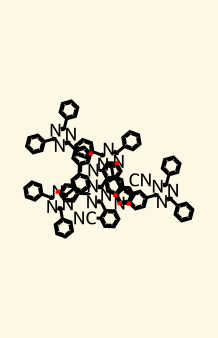 N#Cc1ccccc1-c1cccc(-n2c3ccc(-c4nc(-c5ccccc5)nc(-c5ccccc5)n4)cc3c3cc(-c4nc(-c5ccccc5)nc(-c5ccccc5)n4)ccc32)c1-c1nc(-c2ccccc2)nc(-c2c(C#N)cccc2-n2c3ccc(-c4nc(-c5ccccc5)nc(-c5ccccc5)n4)cc3c3cc(-c4nc(-c5ccccc5)nc(-c5ccccc5)n4)ccc32)n1